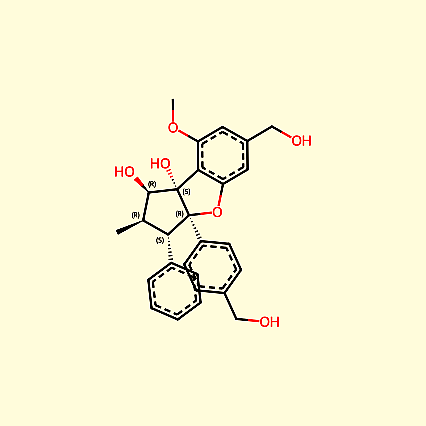 COc1cc(CO)cc2c1[C@]1(O)[C@H](O)[C@H](C)[C@@H](c3ccccc3)[C@]1(c1ccc(CO)cc1)O2